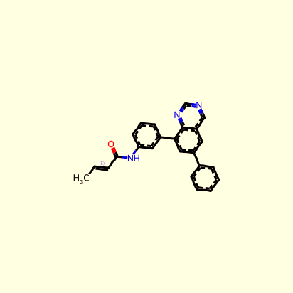 C/C=C/C(=O)Nc1cccc(-c2cc(-c3ccccc3)cc3cncnc23)c1